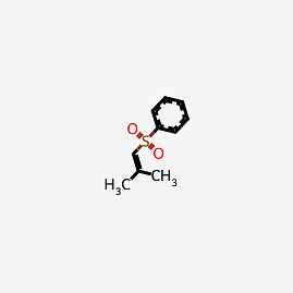 CC(C)=CS(=O)(=O)c1ccccc1